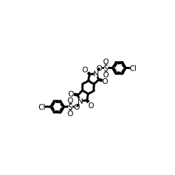 O=C1C2CC3C(=O)N(OS(=O)(=O)c4ccc(Cl)cc4)C(=O)C3CC2C(=O)N1OS(=O)(=O)c1ccc(Cl)cc1